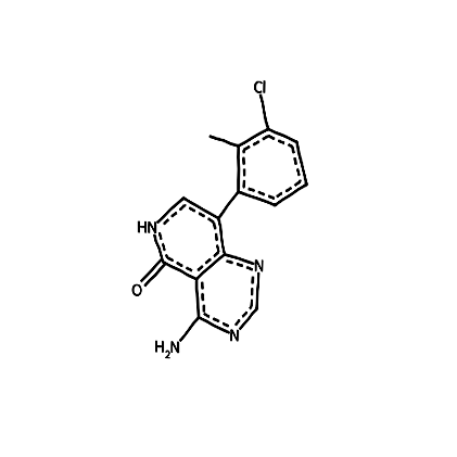 Cc1c(Cl)cccc1-c1c[nH]c(=O)c2c(N)ncnc12